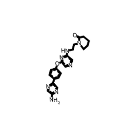 Nc1cnc(-c2ccc(Oc3cncc(NCCN4CCCCC4=O)n3)cc2)cn1